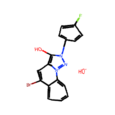 Oc1c2cc(Br)c3ccccc3[n+]2nn1-c1ccc(F)cc1.[OH-]